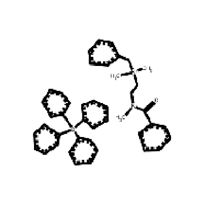 CN(CC[N+](C)(C)Cc1ccccc1)C(=O)c1ccccc1.c1ccc([B-](c2ccccc2)(c2ccccc2)c2ccccc2)cc1